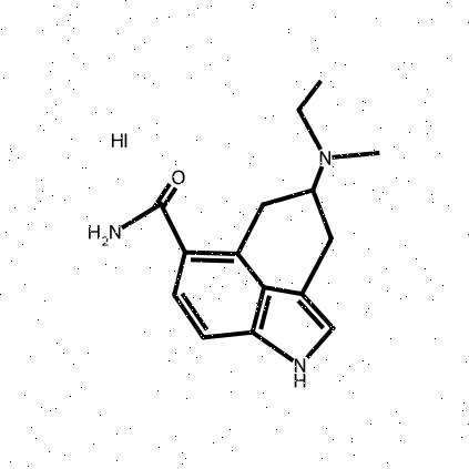 CCN(C)C1Cc2c[nH]c3ccc(C(N)=O)c(c23)C1.I